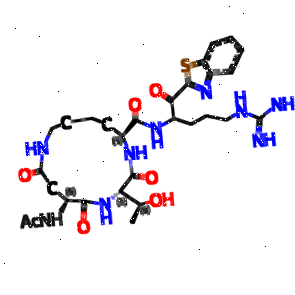 CC(=O)N[C@H]1CC(=O)NCCCC[C@@H](C(=O)NC(CCCNC(=N)N)C(=O)c2nc3ccccc3s2)NC(=O)[C@H]([C@H](C)O)NC1=O